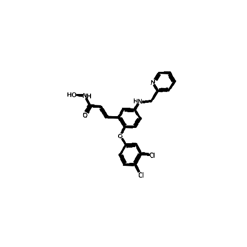 O=C(C=Cc1cc(NCc2ccccn2)ccc1Oc1ccc(Cl)c(Cl)c1)NO